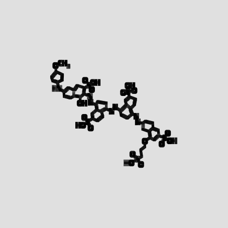 COc1ccc(Nc2ccc3c(O)c(N=Nc4ccc(N=Nc5ccc(N=Nc6ccc7cc(S(=O)(=O)O)cc(OCCCS(=O)(=O)O)c7c6)c6ccc(S(=O)(=O)O)cc56)c5ccc(S(=O)(=O)O)cc45)c(S(=O)(=O)O)cc3c2)cc1